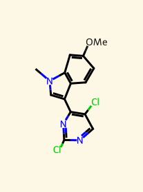 COc1ccc2c(-c3nc(Cl)ncc3Cl)cn(C)c2c1